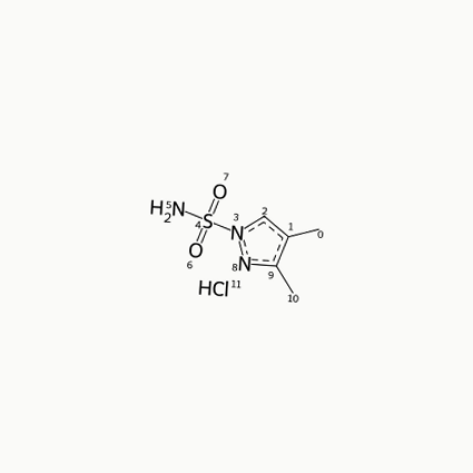 Cc1cn(S(N)(=O)=O)nc1C.Cl